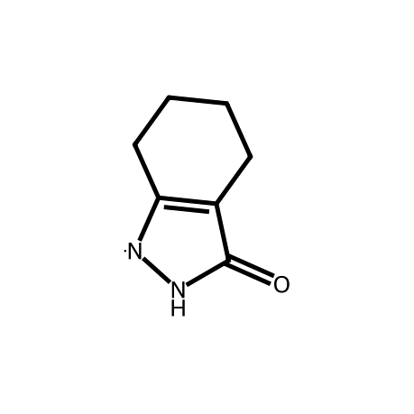 O=C1N[N]C2=C1CCCC2